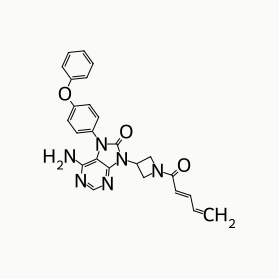 C=CC=CC(=O)N1CC(n2c(=O)n(-c3ccc(Oc4ccccc4)cc3)c3c(N)ncnc32)C1